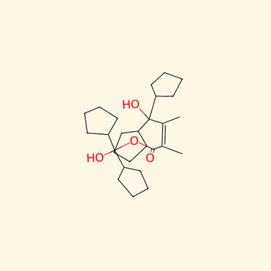 CC(C(=O)OC(O)(C1CCCC1)C1CCCC1)=C(C)C(O)(C1CCCC1)C1CCCC1